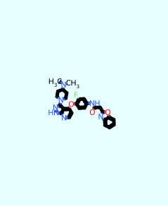 CN(C)C1CCN(c2n[nH]c3nccc(Oc4ccc(NC(=O)Cc5nc6ccccc6o5)cc4F)c23)CC1